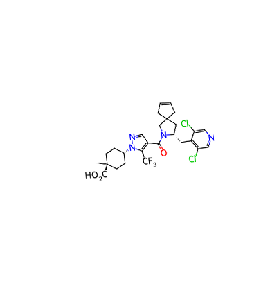 C[C@]1(C(=O)O)CC[C@H](n2ncc(C(=O)N3CC4(CC=CC4)C[C@@H]3Cc3c(Cl)cncc3Cl)c2C(F)(F)F)CC1